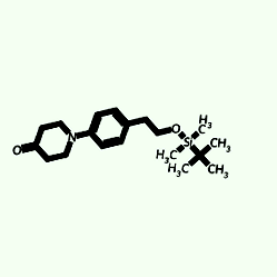 CC(C)(C)[Si](C)(C)OCCc1ccc(N2CCC(=O)CC2)cc1